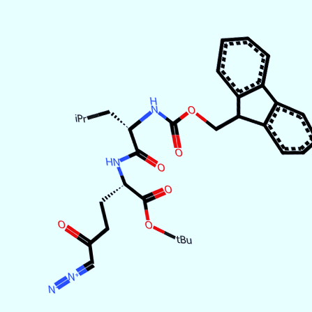 CC(C)C[C@H](NC(=O)OCC1c2ccccc2-c2ccccc21)C(=O)N[C@@H](CCC(=O)C=[N+]=[N-])C(=O)OC(C)(C)C